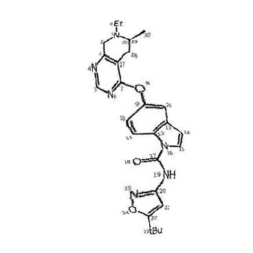 CCN1Cc2ncnc(Oc3ccc4c(ccn4C(=O)Nc4cc(C(C)(C)C)on4)c3)c2C[C@@H]1C